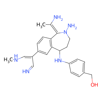 CN/C=C(\C=N)c1ccc2c(c1)C(Nc1ccc(CO)cc1)CCN(N)/C2=C(/C)N